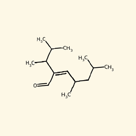 CC(C)CC(C)C=C(C=O)C(C)C(C)C